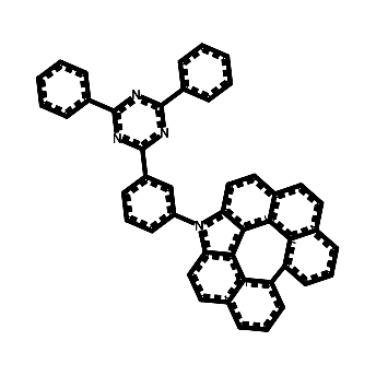 c1ccc(-c2nc(-c3ccccc3)nc(-c3cccc(-n4c5ccc6cccc7c6c5c5c6c(ccc8cccc-7c86)ccc54)c3)n2)cc1